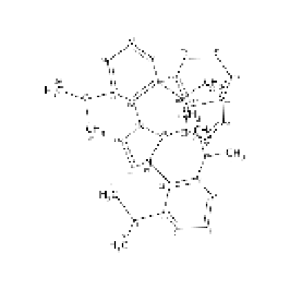 CC(C)c1cccc(C(C)C)c1N1C=CN(c2c(C(C)C)cccc2C(C)C)C1C1C=Cc2ccccc21